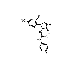 N#Cc1cc(F)c(C2CNC(=O)C2NC(=O)Nc2ccc(F)cc2)c(F)c1